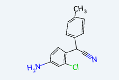 Cc1ccc(C(C#N)c2ccc(N)cc2Cl)cc1